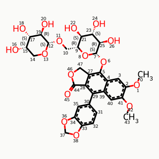 COc1cc2c(O[C@@H]3O[C@H](CO[C@@H]4OC[C@H](O)[C@H](O)[C@H]4O)[C@@H](O)[C@H](O)[C@H]3O)c3c(c(-c4ccc5c(c4)OCO5)c2cc1OC)C(=O)OC3